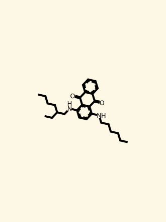 CCCCCCNc1ccc(NCC(CC)CCCC)c2c1C(=O)c1ccccc1C2=O